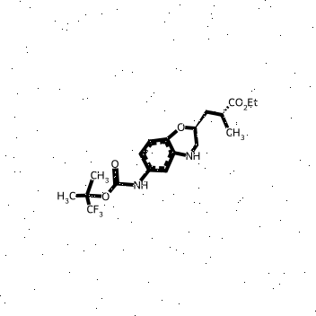 CCOC(=O)[C@H](C)C[C@H]1CNc2cc(NC(=O)OC(C)(C)C(F)(F)F)ccc2O1